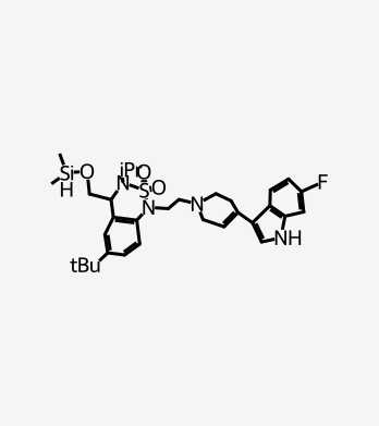 CC(C)N1C(CO[SiH](C)C)c2cc(C(C)(C)C)ccc2N(CCN2CC=C(c3c[nH]c4cc(F)ccc34)CC2)S1(=O)=O